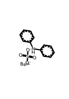 O=S(=O)([O-])[O-].[Ba+2].c1ccc(Nc2ccccc2)cc1